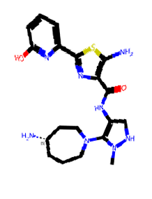 CN1NCC(NC(=O)c2nc(-c3cccc(O)n3)sc2N)=C1N1CCC[C@H](N)CC1